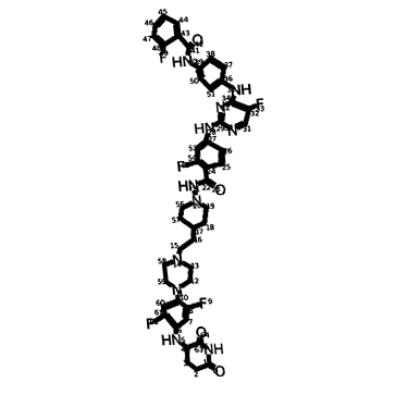 O=C1CCC(Nc2cc(F)c(N3CCN(CCC4CCN(NC(=O)c5ccc(Nc6ncc(F)c(Nc7ccc(NC(=O)c8ccccc8F)cc7)n6)cc5F)CC4)CC3)cc2F)C(=O)N1